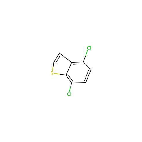 Clc1ccc(Cl)c2sccc12